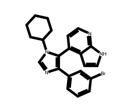 Brc1cccc(-c2ncn(C3CCCCC3)c2-c2ccnc3[nH]ccc23)c1